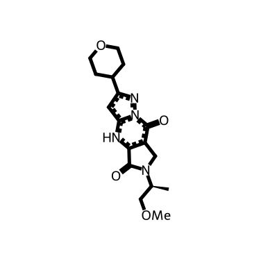 COC[C@H](C)N1Cc2c([nH]c3cc(C4CCOCC4)nn3c2=O)C1=O